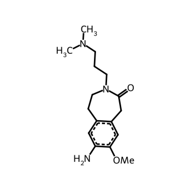 COc1cc2c(cc1N)CCN(CCCN(C)C)C(=O)C2